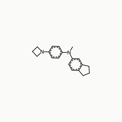 CN(c1ccc(N2CCC2)cc1)c1ccc2c(c1)CCC2